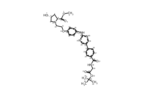 COC(=O)[C@@H]1C[C@@H](O)CN1CCOc1ccc(Nc2ncc(-c3ccc(C(=O)NCC(=O)OC(C)(C)C)cc3)cn2)cc1